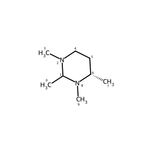 CC1N(C)CC[C@H](C)N1C